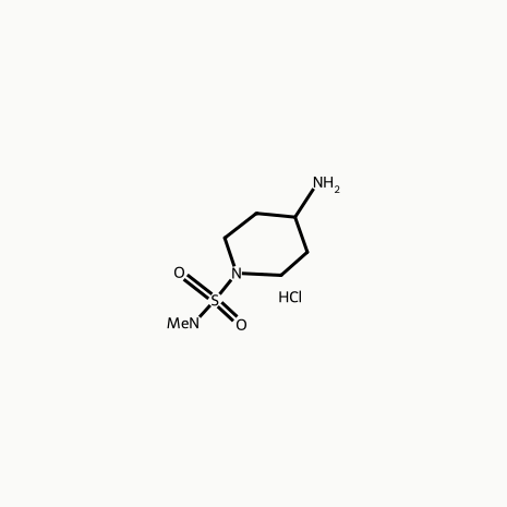 CNS(=O)(=O)N1CCC(N)CC1.Cl